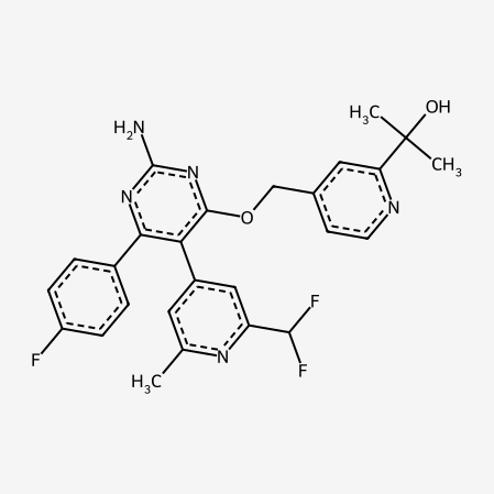 Cc1cc(-c2c(OCc3ccnc(C(C)(C)O)c3)nc(N)nc2-c2ccc(F)cc2)cc(C(F)F)n1